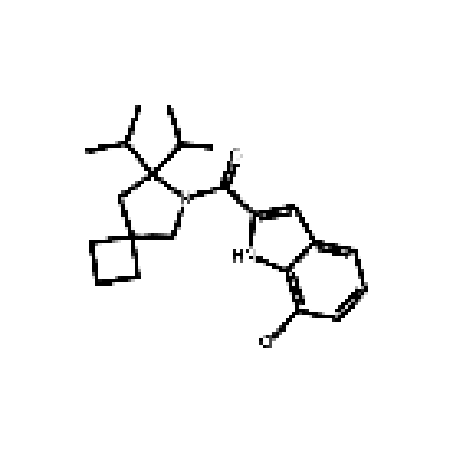 CC(C)C1(C(C)C)CC2(CCC2)CN1C(=O)c1cc2cccc(Cl)c2[nH]1